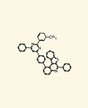 CC1C=C(c2nc(-c3ccccc3)cc(-c3ccc(-c4cccc5nc(-c6ccccc6)c6sc7ccccc7c6c45)cc3)n2)C=CC1